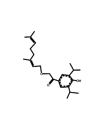 CC(C)=CCCC(C)=CCOCC(=O)c1cc(C(C)C)c(O)c(C(C)C)c1